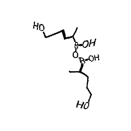 CC(CCCO)B(O)OB(O)C(C)CCCO